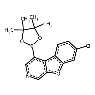 CC1(C)OB(c2cncc3oc4cc(Cl)ccc4c23)OC1(C)C